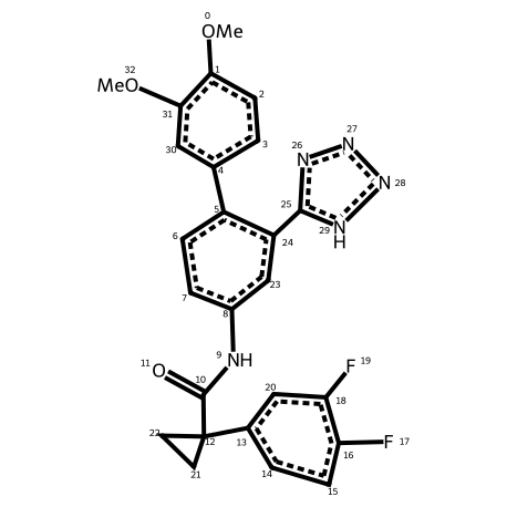 COc1ccc(-c2ccc(NC(=O)C3(c4ccc(F)c(F)c4)CC3)cc2-c2nnn[nH]2)cc1OC